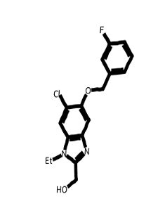 CCn1c(CO)nc2cc(OCc3cccc(F)c3)c(Cl)cc21